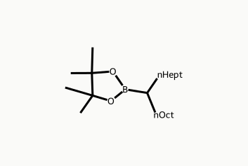 CCCCCCCCC(CCCCCCC)B1OC(C)(C)C(C)(C)O1